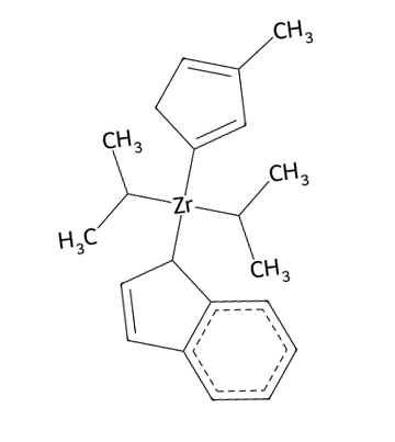 CC1=CC[C]([Zr]([CH](C)C)([CH](C)C)[CH]2C=Cc3ccccc32)=C1